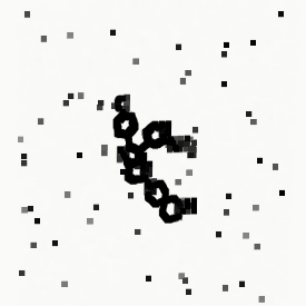 Nc1cc(-c2c(-c3ccc(Cl)cc3)nc3ccc(N4CCC5(CCCNC5)CC4)nn23)ccn1